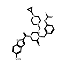 COc1ccc2[nH]c(C(=O)N3CC(=O)N(Cc4cccc(OC(F)F)c4)[C@@H](CN4CCN(C5CC5)CC4)C3)cc2c1